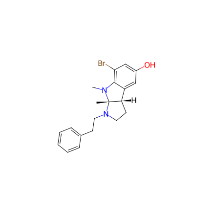 CN1c2c(Br)cc(O)cc2[C@@H]2CCN(CCc3ccccc3)[C@@]21C